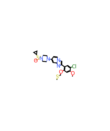 COc1cc(OCSC)c(-c2cn3ccc(N4CCN([S+]([O-])C5CC5)CC4)cc3n2)cc1Cl